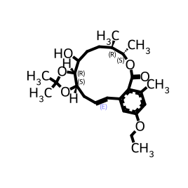 CCOc1cc(C)c2c(c1)/C=C/C[C@@H]1OC(C)(C)O[C@@H]1C(O)CC[C@@H](C)[C@H](C)OC2=O